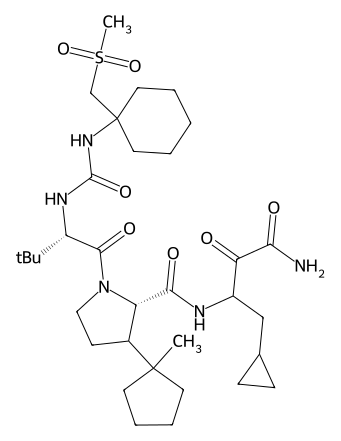 CC1(C2CCN(C(=O)[C@@H](NC(=O)NC3(CS(C)(=O)=O)CCCCC3)C(C)(C)C)[C@@H]2C(=O)NC(CC2CC2)C(=O)C(N)=O)CCCC1